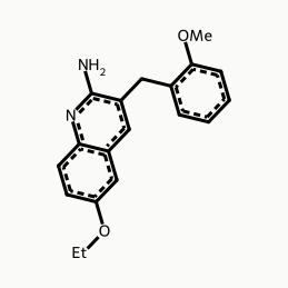 CCOc1ccc2nc(N)c(Cc3ccccc3OC)cc2c1